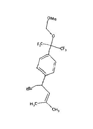 COCOC(c1ccc(C(C=C(C)C)C(C)(C)C)cc1)(C(F)(F)F)C(F)(F)F